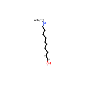 CCCCCCCNCCCCCCCCCCO